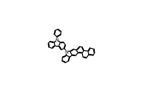 c1ccc(-n2c3ccccc3c3cc(-n4c5ccccc5c5cc6c(ccc7c8ccccc8ccc67)cc54)ccc32)cc1